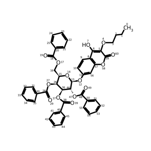 CCCCOc1c(O)c2ccc(O[C@@H]3O[C@H](COC(=O)c4ccccc4)[C@H](OC(=O)c4ccccc4)[C@H](OC(=O)c4ccccc4)[C@H]3OC(=O)c3ccccc3)cc2oc1=O